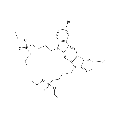 CCOP(=O)(CCCCn1c2ccc(Br)cc2c2cc3c4cc(Br)ccc4n(CCCCP(=O)(OCC)OCC)c3cc21)OCC